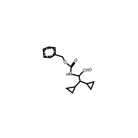 O=CC(NC(=O)OCc1ccccc1)C(C1CC1)C1CC1